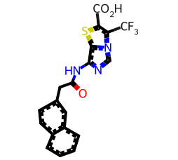 O=C(Cc1ccc2ccccc2c1)Nc1ncn2c(C(F)(F)F)c(C(=O)O)sc12